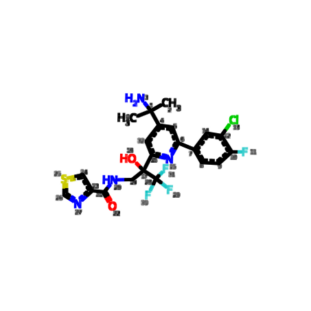 CC(C)(N)c1cc(-c2ccc(F)c(Cl)c2)nc(C(O)(CNC(=O)c2cscn2)C(F)(F)F)c1